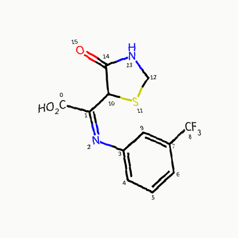 O=C(O)C(=Nc1cccc(C(F)(F)F)c1)C1SCNC1=O